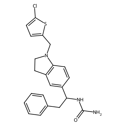 NC(=O)NC(Cc1ccccc1)c1ccc2c(c1)CCN2Cc1ccc(Cl)s1